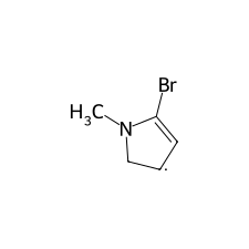 CN1C[CH]C=C1Br